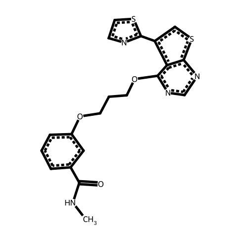 CNC(=O)c1cccc(OCCCOc2ncnc3scc(-c4nccs4)c23)c1